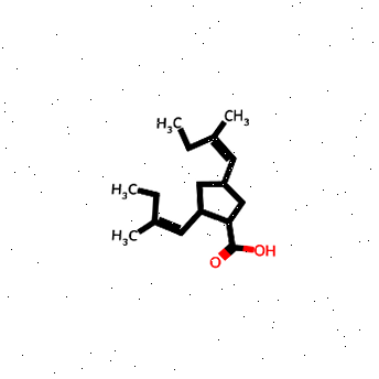 CC/C(C)=C\C1CC(/C=C(/C)CC)C(C(=O)O)C1